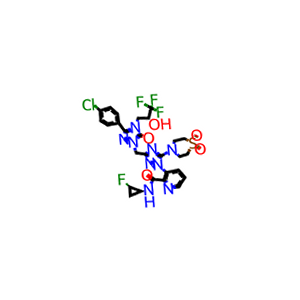 O=C(N[C@@H]1C[C@H]1F)c1ncccc1-n1nc(Cn2nc(-c3ccc(Cl)cc3)n(C[C@@H](O)C(F)(F)F)c2=O)nc1N1CCS(=O)(=O)CC1